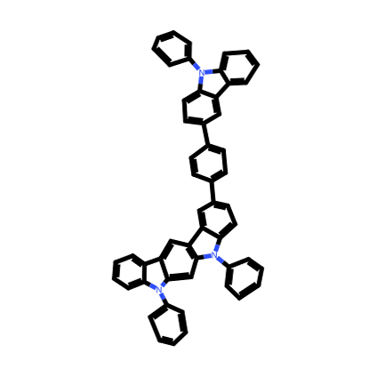 c1ccc(-n2c3ccccc3c3cc(-c4ccc(-c5ccc6c(c5)c5cc7c8ccccc8n(-c8ccccc8)c7cc5n6-c5ccccc5)cc4)ccc32)cc1